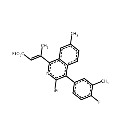 CCOC(=O)/C=C(\C)c1nc(C(C)C)c(-c2ccc(F)c(C)c2)c2ccc(C)cc12